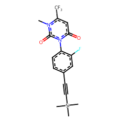 Cn1c(C(F)(F)F)cc(=O)n(-c2ccc(C#C[Si](C)(C)C)cc2F)c1=O